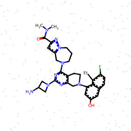 CCc1c(F)ccc2cc(O)cc(N3CCc4c(nc(N5CC(N)C5)nc4N4CCCn5nc(C(=O)N(C)C)cc5C4)C3)c12